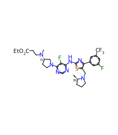 CCOC(=O)CCN(C)[C@H]1CCN(c2ncnc(Nc3nc(-c4cc(F)cc(C(F)(F)F)c4)c(CN4CCC[C@H]4C)s3)c2F)C1